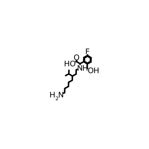 CC(C)C(CCCCCN)CCNC(C(=O)O)c1cc(F)ccc1CO